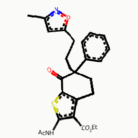 CCOC(=O)c1c(NC(C)=O)sc2c1CCC(CCc1cc(C)no1)(c1ccccc1)C2=O